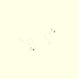 O=[N+]([O-])c1cc(Br)cc(COCc2cc(Br)cc([N+](=O)[O-])c2)c1